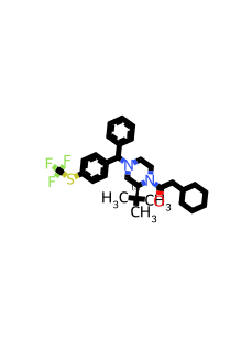 CC(C)(C)[C@H]1CN(C(c2ccccc2)c2ccc(SC(F)(F)F)cc2)CCN1C(=O)CC1CCCCC1